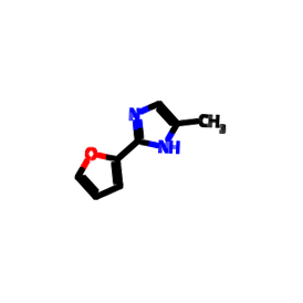 Cc1cnc(-c2ccco2)[nH]1